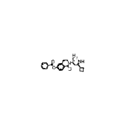 C[C@H](CC(=N)C1CCC1)N1CCc2cc(OC(=O)c3ccccc3)ccc2C1=O